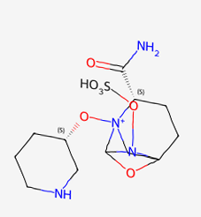 NC(=O)[C@@H]1CCC23C[N+]1(O[C@H]1CCCNC1)C(O2)N3OS(=O)(=O)O